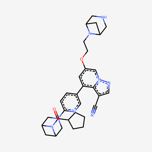 N#Cc1cnn2cc(OCCN3C4CNCC3C4)cc(-c3ccc(N4CC5CC(C4)N5C(=O)C4CCCC4)nc3)c12